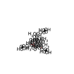 C[C@H](Cc1ccc(OP(=O)(O)O)cc1)NC(=O)[C@H](C)NC(=O)[C@H](C)NC(=O)[C@H](Cc1ccc(OP(=O)(O)O)cc1)NC(=O)[C@H](C)NC(=O)[C@H](C)NC(=O)[C@H](Cc1ccc(OP(=O)(O)O)cc1)NC(=O)[C@H](C)NC(=O)[C@H](C)N